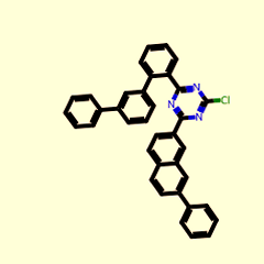 Clc1nc(-c2ccc3ccc(-c4ccccc4)cc3c2)nc(-c2ccccc2-c2cccc(-c3ccccc3)c2)n1